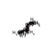 CC(C)n1nc(C(=O)NCc2ccc(NC(=O)N(C)C)cc2)c2c1CCN(c1ccc(C(=O)NCc3ccc(NC(=O)N(C)C)cc3)cn1)C2